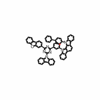 c1ccc(-c2ccc(-n3c4ccccc4c4ccc5c6ccccc6n(-c6cccc(-c7nc(-c8ccc9c(c8)oc8ccccc89)nc(-n8c9ccccc9c9ccccc98)n7)c6)c5c43)cc2)cc1